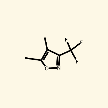 Cc1onc(C(F)(F)F)c1C